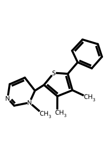 Cc1c(-c2ccccc2)sc(C2C=CN=CN2C)c1C